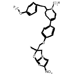 CC1(COc2ccc(C3=CCN(C(=O)O)C(Cc4ccc(OC(F)(F)F)cc4)C3)cc2)Cn2cc([N+](=O)[O-])nc2O1